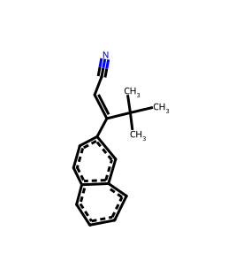 CC(C)(C)/C(=C\C#N)c1ccc2ccccc2c1